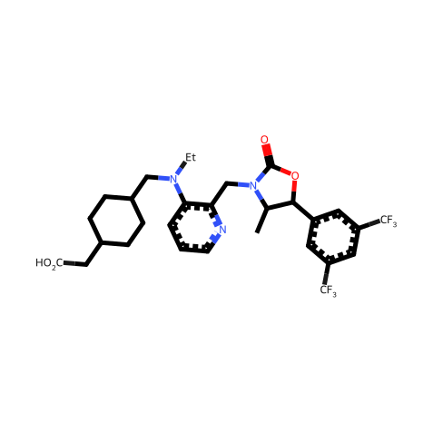 CCN(CC1CCC(CC(=O)O)CC1)c1cccnc1CN1C(=O)OC(c2cc(C(F)(F)F)cc(C(F)(F)F)c2)C1C